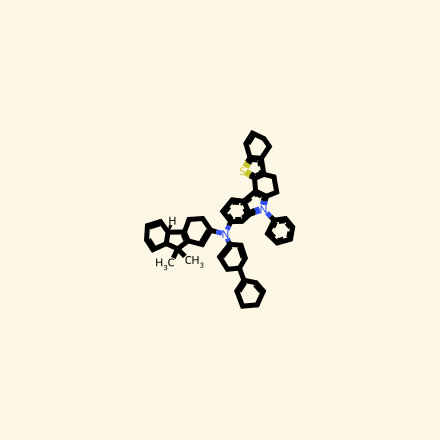 CC1(C)C2=C(CCC(N(C3=CCC(C4=CCCC=C4)C=C3)c3ccc4c5c(n(-c6ccccc6)c4c3)CCc3c-5sc4c3CCC=C4)=C2)[C@H]2C=CC=CC21